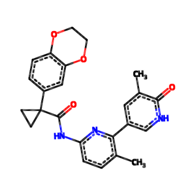 Cc1ccc(NC(=O)C2(c3ccc4c(c3)OCCO4)CC2)nc1-c1c[nH]c(=O)c(C)c1